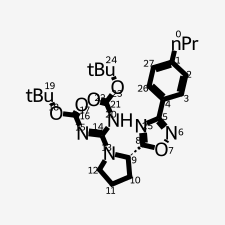 CCCc1ccc(-c2noc([C@@H]3CCCN3/C(=N/C(=O)OC(C)(C)C)NC(=O)OC(C)(C)C)n2)cc1